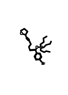 CCCC[Si](CCCC)(CCCC)O/C(=C\CCC#CC1CCCO1)c1ccc(Br)cc1